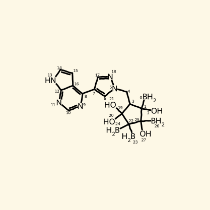 BC1(O)C(Cn2cc(-c3ncnc4[nH]ccc34)cn2)C(O)(O)C(B)(B)C1(B)O